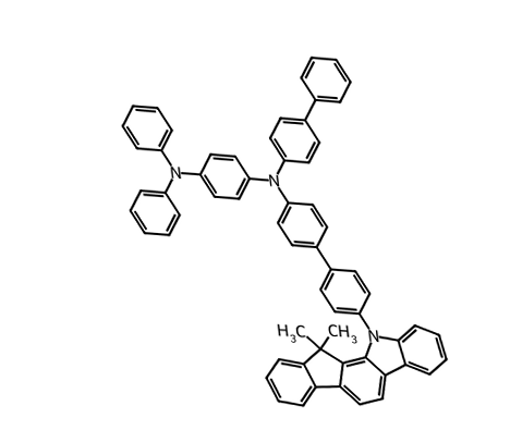 CC1(C)c2ccccc2-c2ccc3c4ccccc4n(-c4ccc(-c5ccc(N(c6ccc(-c7ccccc7)cc6)c6ccc(N(c7ccccc7)c7ccccc7)cc6)cc5)cc4)c3c21